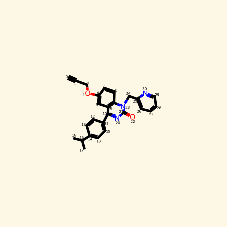 C#CCOc1ccc2c(c1)c(-c1ccc(C(C)C)cc1)nc(=O)n2Cc1ccccn1